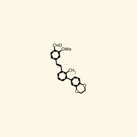 COc1cc(/C=C/c2cccc(-c3ccc4c(c3)OCCO4)c2C)ccc1C=O